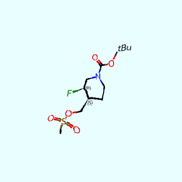 CC(C)(C)OC(=O)N1CC[C@@H](COS(C)(=O)=O)[C@@H](F)C1